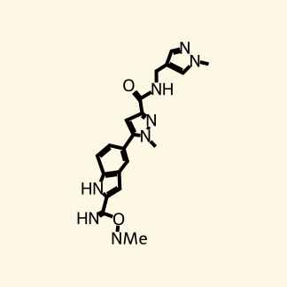 CNOC(=N)c1cc2cc(-c3cc(C(=O)NCc4cnn(C)c4)nn3C)ccc2[nH]1